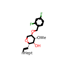 CCCCCCC/C=C/[C@@H]1OC[C@@H](OCc2ccc(F)cc2F)[C@H](OC)[C@@H]1O